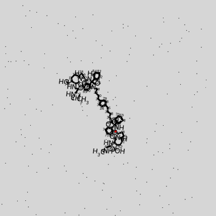 CC[C@H](NC)C(=O)N[C@@H]1C(=O)N2[C@@H](CC[C@@H]1CO)CC[C@H]2C(=O)NC(C(=O)NCCCCc1ccc(CCCCNC(=O)C(NC(=O)[C@@H]2CC[C@@H]3CC[C@H](CO)[C@H](NC(=O)CNC)C(=O)N32)(c2ccccc2)c2ccccc2)cc1)(c1ccccc1)c1ccccc1